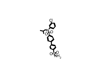 CC(C)CN(c1cccc(Cl)c1)S(=O)(=O)c1ccc(-c2ccc(S(N)(=O)=O)cc2)cc1